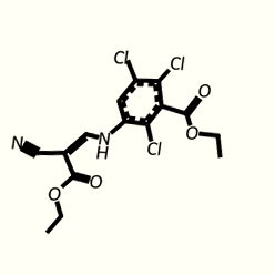 CCOC(=O)C(C#N)=CNc1cc(Cl)c(Cl)c(C(=O)OCC)c1Cl